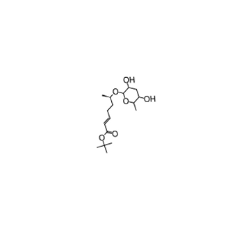 CC1OC(O[C@H](C)CC/C=C/C(=O)OC(C)(C)C)C(O)CC1O